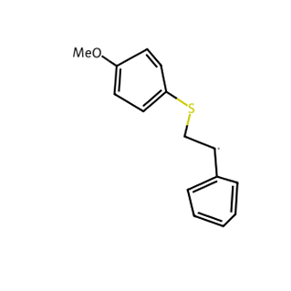 COc1ccc(SC[CH]c2ccccc2)cc1